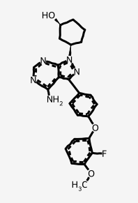 COc1cccc(Oc2ccc(-c3nn([C@@H]4CCC[C@H](O)C4)c4ncnc(N)c34)cc2)c1F